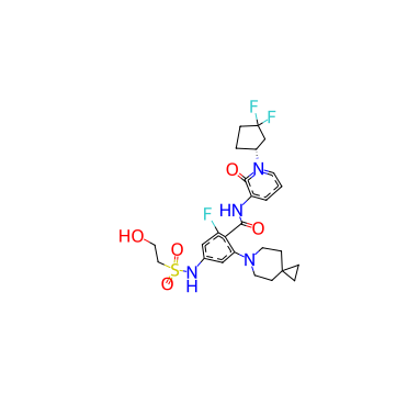 O=C(Nc1cccn([C@@H]2CCC(F)(F)C2)c1=O)c1c(F)cc(NS(=O)(=O)CCO)cc1N1CCC2(CC1)CC2